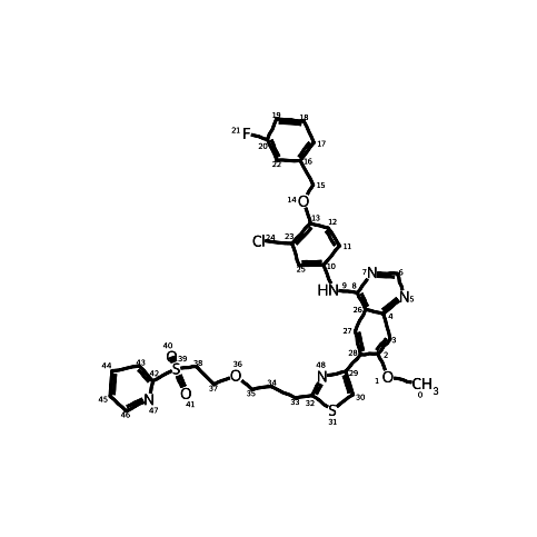 COc1cc2ncnc(Nc3ccc(OCc4cccc(F)c4)c(Cl)c3)c2cc1-c1csc(CCCOCCS(=O)(=O)c2ccccn2)n1